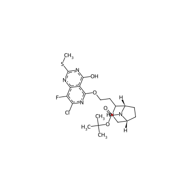 CSc1nc(O)c2c(OCCC3NC[C@H]4CC[C@@H]3N4C(=O)OC(C)(C)C)nc(Cl)c(F)c2n1